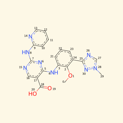 COc1c(Nc2nc(Nc3ccccn3)ncc2C(=O)O)cccc1-c1ncn(C)n1